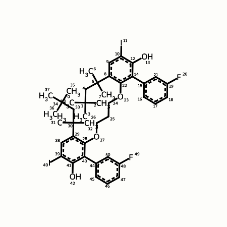 CC(C)(C)CC(C)(C)c1cc(I)c(O)c(-c2cccc(F)c2)c1OCCCOc1c(C(C)(C)CC(C)(C)C)cc(I)c(O)c1-c1cccc(F)c1